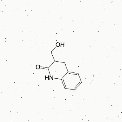 O=C1Nc2ccccc2CC1CO